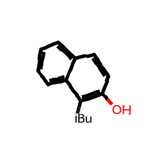 CCC(C)c1c(O)ccc2ccccc12